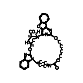 O=C(O)[C@@H]1C[C@H]2CN1c1nc(nc3c1oc1ccccc13)OCCCCOC(=O)N1CCC(CC1)n1c(nc3ccccc31)O2